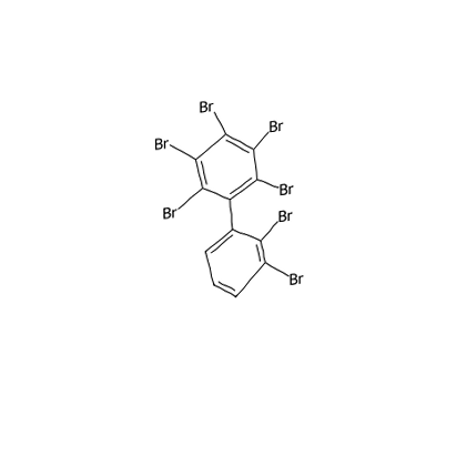 Brc1cccc(-c2c(Br)c(Br)c(Br)c(Br)c2Br)c1Br